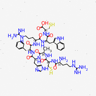 C[C@@H](NC(=O)[C@H](CS)NC(=O)[C@@H](N)CCCNC(=N)N)C(=O)N[C@@H](Cc1c[nH]cn1)C(=O)N[C@H](Cc1ccccc1)C(=O)N[C@@H](CCCNC(=N)N)C(=O)N[C@H](Cc1c[nH]c2ccccc12)C(=O)N[C@@H](CS)C(=O)O